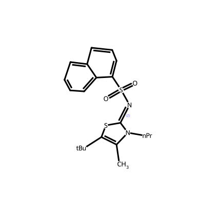 CCCn1c(C)c(C(C)(C)C)s/c1=N\S(=O)(=O)c1cccc2ccccc12